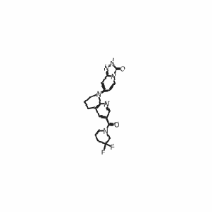 Cn1nc2cc(N3CCCc4cc(C(=O)N5CCCC(F)(F)C5)cnc43)ccn2c1=O